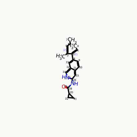 C/C=C(\C(C)=C/CC)c1ccc2c(c1)=CNC(NC(=O)C1CC1)C=2